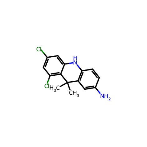 CC1(C)c2cc(N)ccc2Nc2cc(Cl)cc(Cl)c21